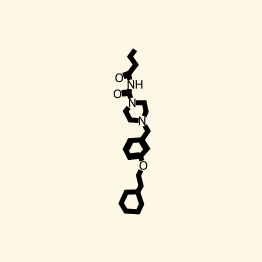 CCCC(=O)NC(=O)N1CCN(Cc2cccc(OCCC3CCCCC3)c2)CC1